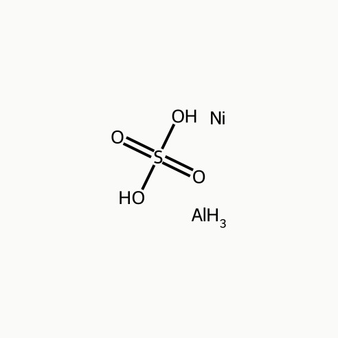 O=S(=O)(O)O.[AlH3].[Ni]